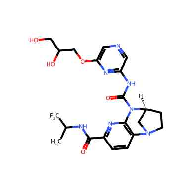 CC(NC(=O)c1ccc2c(n1)N(C(=O)Nc1cncc(OCC(O)CO)n1)[C@H]1CCN2C1)C(F)(F)F